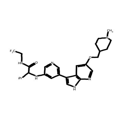 CC(C)C(Nc1cncc(-c2c[nH]c3ncc(OCC4CCN(C)CC4)cc23)c1)C(=O)NCC(F)(F)F